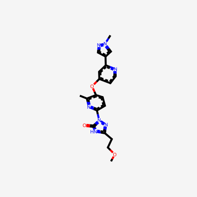 COCCc1nn(-c2ccc(Oc3ccnc(-c4cnn(C)c4)c3)c(C)n2)c(=O)[nH]1